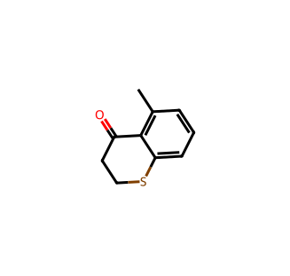 Cc1cccc2c1C(=O)CCS2